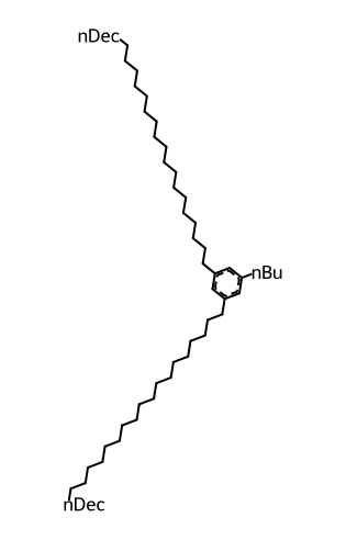 [CH2]CCCc1cc(CCCCCCCCCCCCCCCCCCCCCCCCCCCC)cc(CCCCCCCCCCCCCCCCCCCCCCCCCCCC)c1